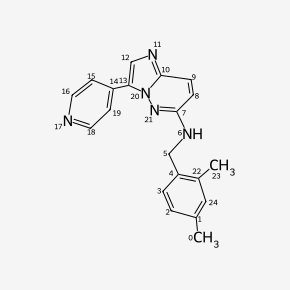 Cc1ccc(CNc2ccc3ncc(-c4ccncc4)n3n2)c(C)c1